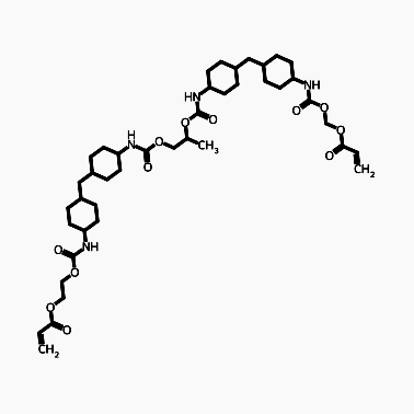 C=CC(=O)OCCOC(=O)NC1CCC(CC2CCC(NC(=O)OCC(C)OC(=O)NC3CCC(CC4CCC(NC(=O)OCOC(=O)C=C)CC4)CC3)CC2)CC1